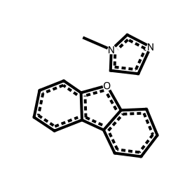 Cn1ccnc1.c1ccc2c(c1)oc1ccccc12